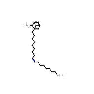 CC1CCC2CC1(CCCCCCCC/C=C\CCCCCCCCO)C2(C)C